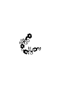 CN(C)CC1CCN(C(=O)Nc2cc(Oc3ccc(NC(=O)NC(=O)Cc4ccccc4)cc3)ccn2)CC1